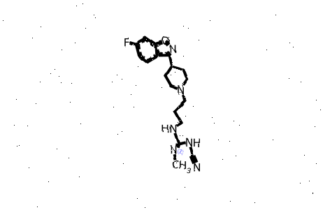 C/N=C(\NC#N)NCCCN1CCC(c2noc3cc(F)ccc23)CC1